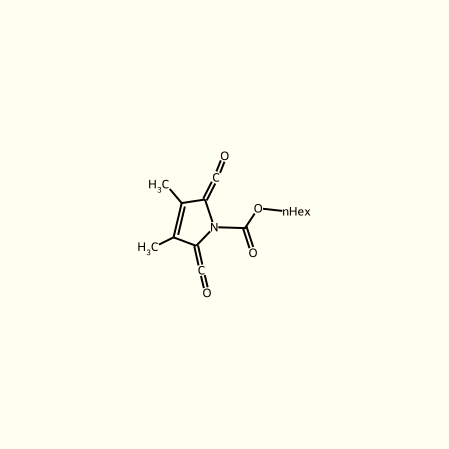 CCCCCCOC(=O)n1c(=C=O)c(C)c(C)c1=C=O